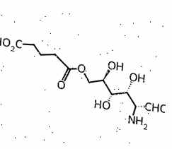 N[C@@H](C=O)[C@@H](O)[C@H](O)[C@H](O)COC(=O)CCCC(=O)O